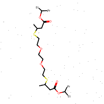 CCC(OC(=O)CC(C)SCCOCCOCCSC(C)CC(=O)OC(CC)C(C)C)C(C)C